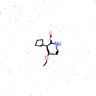 CCOC1=C(C2=CCCC2)C(=C=O)NC=C1